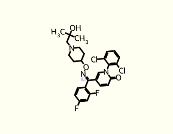 CC(C)(O)CN1CCC(O/N=C(\c2ccc(=O)n(-c3c(Cl)cccc3Cl)c2)c2ccc(F)cc2F)CC1